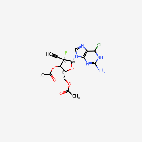 C#C[C@]1(F)C(OC(C)=O)[C@@H](COC(C)=O)O[C@H]1n1cnc2c1N=C(N)NC2Cl